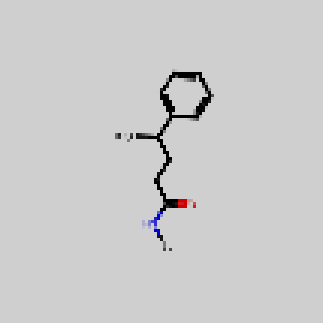 CCNC(=O)CCC(C(=O)O)c1ccccc1